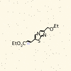 CCOCc1cn2cc(/C=C/C(=O)OCC)sc2n1